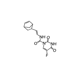 O=C(NC=CC1CC2C=CC1C2)n1cc(F)c(=O)[nH]c1=O